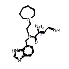 N=C/C=C(\N)C(=O)N(CCN1CCCCCC1)Cc1cccc2nc[nH]c12